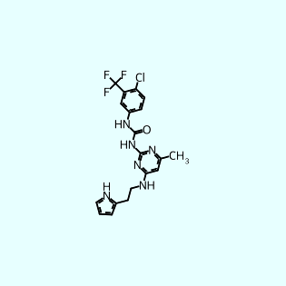 Cc1cc(NCCc2ccc[nH]2)nc(NC(=O)Nc2ccc(Cl)c(C(F)(F)F)c2)n1